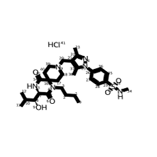 CCCCN1C(=O)[C@@H]([C@H](O)C(C)C)NC(=O)C12CCN(Cc1c(C)nn(-c3ccc(S(=O)(=O)NC)cc3)c1C)CC2.Cl